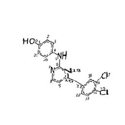 Oc1ccc(Nc2nccc(-c3ccc(Cl)c(Cl)c3)n2)cc1